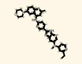 CCc1cc(N(C)c2cnc3[nH]c(-c4ccc(Nc5cc(C)nc6ccc(N7CCOCC7)cc56)nc4)nc3c2)ccn1